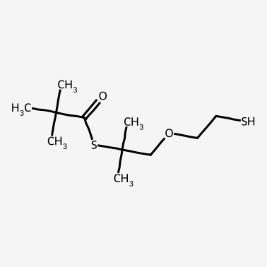 CC(C)(COCCS)SC(=O)C(C)(C)C